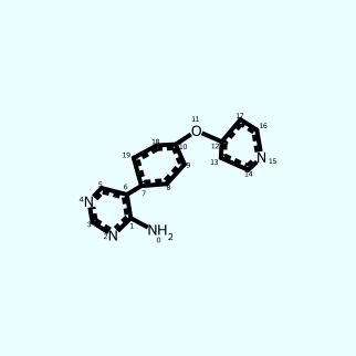 Nc1ncncc1-c1ccc(Oc2ccncc2)cc1